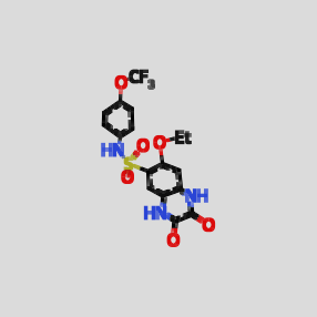 CCOc1cc2[nH]c(=O)c(=O)[nH]c2cc1S(=O)(=O)Nc1ccc(OC(F)(F)F)cc1